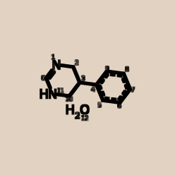 C1=NCC(c2ccccc2)CN1.O